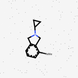 CNc1cccc2c1CN(C1CC1)C2